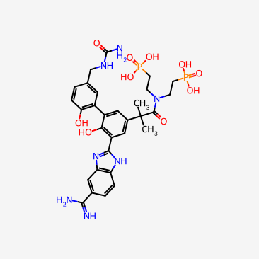 CC(C)(C(=O)N(CCP(=O)(O)O)CCP(=O)(O)O)c1cc(-c2nc3cc(C(=N)N)ccc3[nH]2)c(O)c(-c2cc(CNC(N)=O)ccc2O)c1